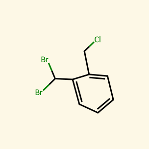 ClCc1ccccc1C(Br)Br